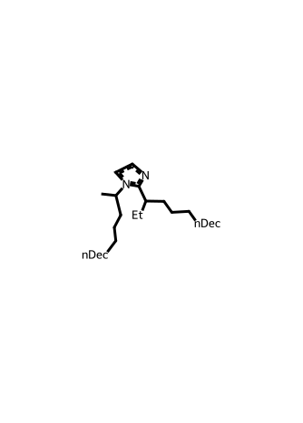 CCCCCCCCCCCCCC(CC)c1nccn1C(C)CCCCCCCCCCCCC